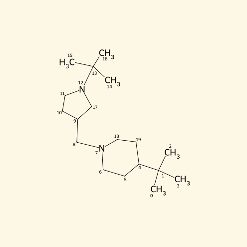 CC(C)(C)C1CCN(CC2CCN(C(C)(C)C)C2)CC1